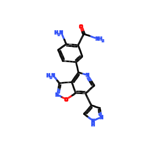 NC(=O)c1cc(-c2ncc(-c3cn[nH]c3)c3onc(N)c23)ccc1N